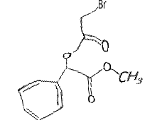 COC(=O)C(OC(=O)CBr)c1ccccc1